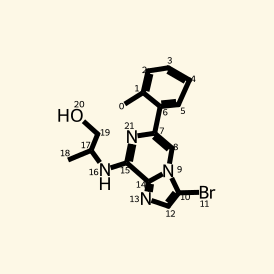 Cc1ccccc1-c1cn2c(Br)cnc2c(NC(C)CO)n1